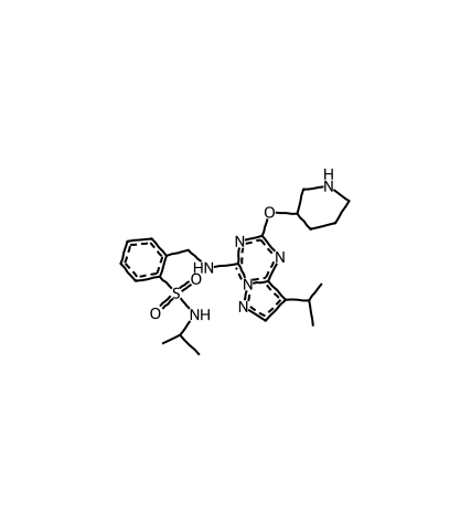 CC(C)NS(=O)(=O)c1ccccc1CNc1nc(OC2CCCNC2)nc2c(C(C)C)cnn12